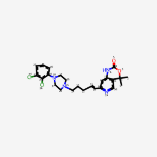 CC1(C)OC(=O)Nc2cc(C=CCCCN3CCN(c4cccc(Cl)c4Cl)CC3)ncc21